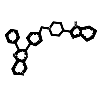 c1ccc(-c2nc3ccncc3nc2-c2ccc(CN3CCC(c4nc5ccccc5[nH]4)CC3)cc2)cc1